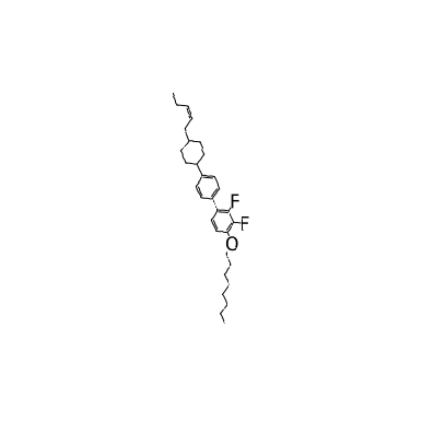 CC/C=C\CC1CCC(c2ccc(-c3ccc(OCCCCCCCC)c(F)c3F)cc2)CC1